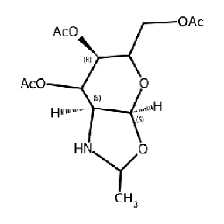 CC(=O)OCC1O[C@H]2OC(C)N[C@H]2C(OC(C)=O)[C@H]1OC(C)=O